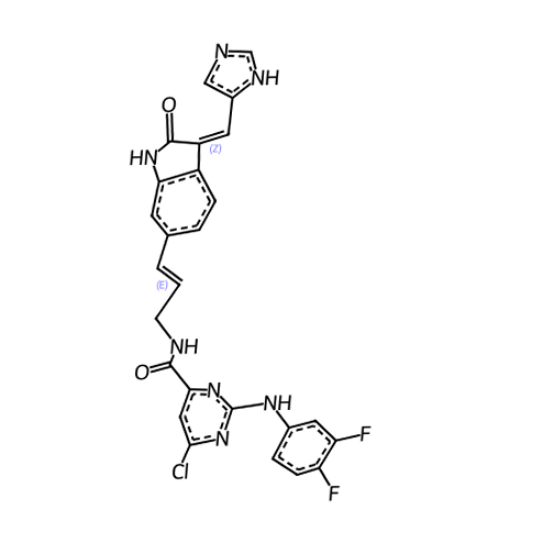 O=C1Nc2cc(/C=C/CNC(=O)c3cc(Cl)nc(Nc4ccc(F)c(F)c4)n3)ccc2/C1=C/c1cnc[nH]1